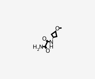 CO[C@H]1C[C@H](NC(=O)C(N)=O)C1